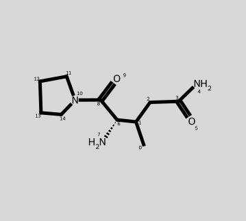 CC(CC(N)=O)[C@H](N)C(=O)N1CCCC1